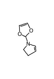 C1=CN([C]2OC=CO2)CC1